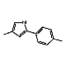 Cc1ccc(-c2cc(C)c[nH]2)cc1